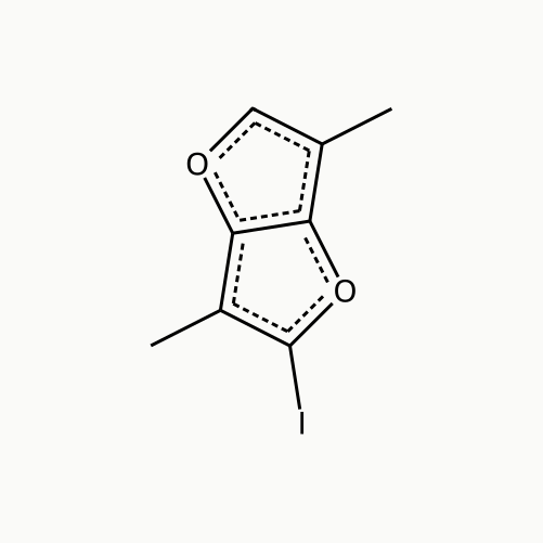 Cc1coc2c(C)c(I)oc12